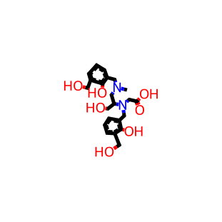 CN(Cc1cccc(CO)c1O)CC(CO)N(CC(=O)O)Cc1cccc(CO)c1O